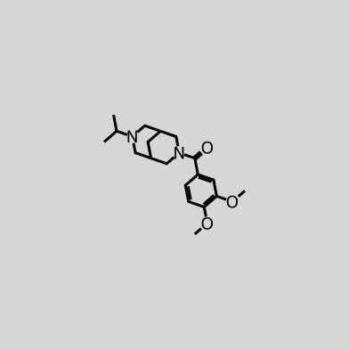 COc1ccc(C(=O)N2CC3CC(C2)CN(C(C)C)C3)cc1OC